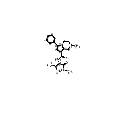 CNC(=O)[C@@H](NC(=O)c1nc(-c2ccccc2)n2c1CN(C)CC2)C(C)C